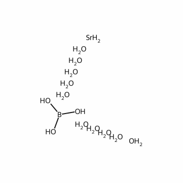 O.O.O.O.O.O.O.O.O.O.OB(O)O.[SrH2]